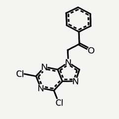 O=C(Cn1cnc2c(Cl)nc(Cl)nc21)c1ccccc1